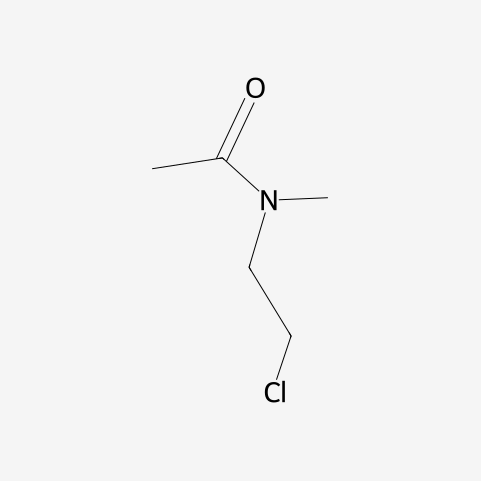 CC(=O)N(C)CCCl